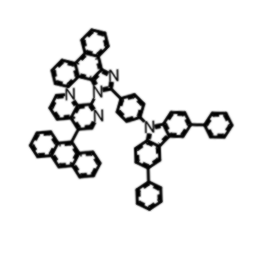 c1ccc(-c2ccc3c(c2)c2cc(-c4ccccc4)ccc2n3-c2ccc(-c3nc4c5ccccc5c5ccccc5c4n3-c3ncc(-c4c5ccccc5cc5ccccc45)c4cccnc34)cc2)cc1